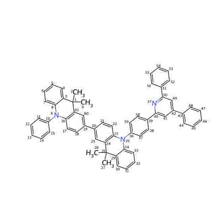 CC1(C)c2ccccc2N(c2ccccc2)c2ccc(-c3ccc4c(c3)C(C)(C)c3ccccc3N4c3ccc(-c4cc(-c5ccccc5)cc(-c5ccccc5)n4)cc3)cc21